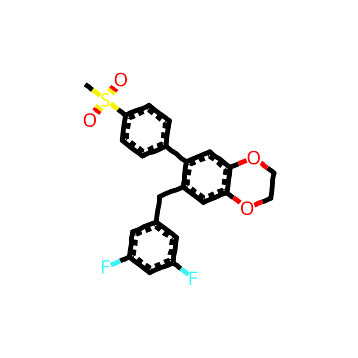 CS(=O)(=O)c1ccc(-c2cc3c(cc2Cc2cc(F)cc(F)c2)OCCO3)cc1